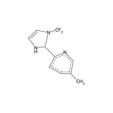 Cc1ccc(C2NC=CN2C(F)(F)F)nc1